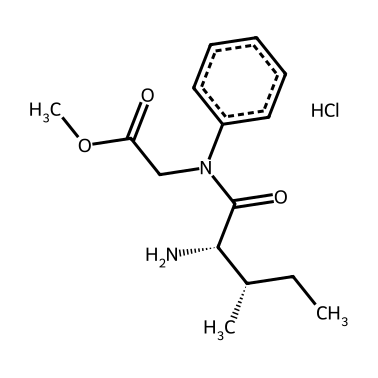 CC[C@H](C)[C@H](N)C(=O)N(CC(=O)OC)c1ccccc1.Cl